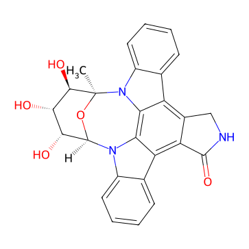 C[C@]12O[C@H]([C@H](O)[C@H](O)[C@H]1O)n1c3ccccc3c3c4c(c5c6ccccc6n2c5c31)CNC4=O